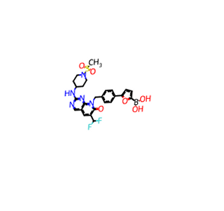 CS(=O)(=O)N1CCC(Nc2ncc3cc(C(F)F)c(=O)n(Cc4ccc(-c5ccc(B(O)O)o5)cc4)c3n2)CC1